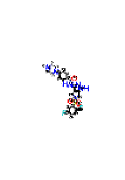 CN1CCN(c2ccc(C(=O)Nc3n[nH]c4c3CN(S(=O)(=O)c3cc(F)ccc3F)C4)cc2)CC1